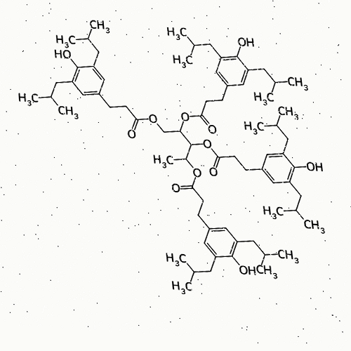 CC(C)Cc1cc(CCC(=O)OCC(OC(=O)CCc2cc(CC(C)C)c(O)c(CC(C)C)c2)C(OC(=O)CCc2cc(CC(C)C)c(O)c(CC(C)C)c2)C(C)OC(=O)CCc2cc(CC(C)C)c(O)c(CC(C)C)c2)cc(CC(C)C)c1O